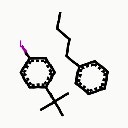 CC(C)(C)c1ccc(I)cc1.CCCCc1ccccc1